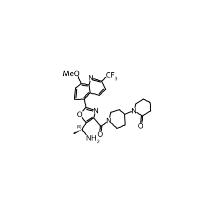 COc1ccc(-c2nc(C(=O)N3CCC(N4CCCCC4=O)CC3)c([C@H](C)N)o2)c2ccc(C(F)(F)F)nc12